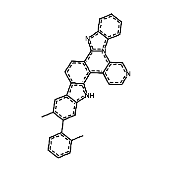 Cc1ccccc1-c1cc2[nH]c3c(ccc4c3c3ccncc3n3c5ccccc5nc43)c2cc1C